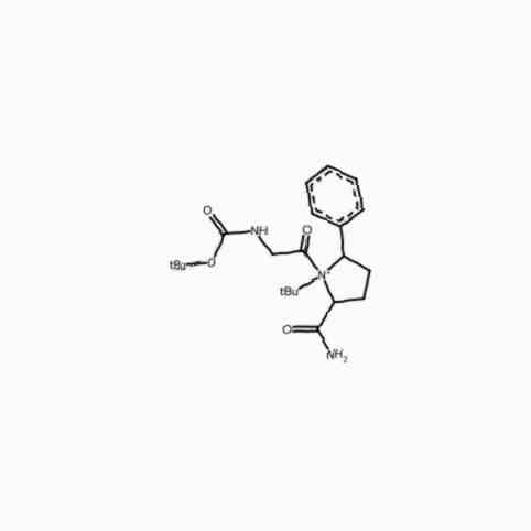 CC(C)(C)OC(=O)NCC(=O)[N+]1(C(C)(C)C)C(C(N)=O)CCC1c1ccccc1